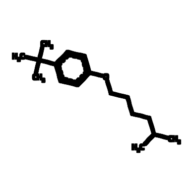 CC(C)CCCCOc1ccc(C(C)(C)C)cc1